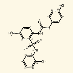 Nc1ccc(NC(=O)Cc2ccc(Cl)cc2)c(S(=O)(=O)Nc2ccccc2Cl)c1